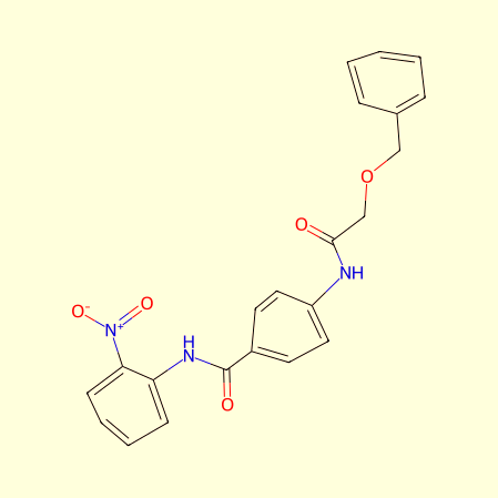 O=C(COCc1ccccc1)Nc1ccc(C(=O)Nc2ccccc2[N+](=O)[O-])cc1